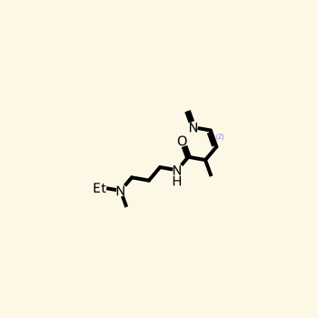 C=N/C=C\C(C)C(=O)NCCCN(C)CC